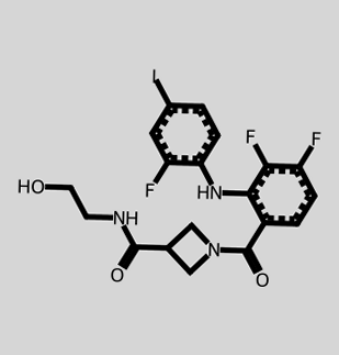 O=C(NCCO)C1CN(C(=O)c2ccc(F)c(F)c2Nc2ccc(I)cc2F)C1